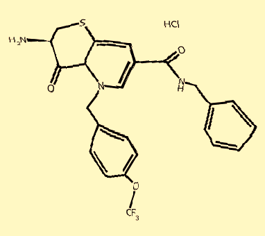 Cl.N[C@H]1CSC2=CC(C(=O)NCc3ccccc3)=CN(Cc3ccc(OC(F)(F)F)cc3)C2C1=O